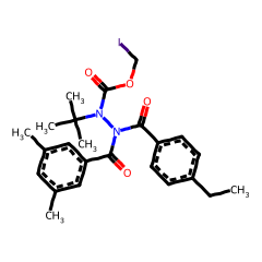 CCc1ccc(C(=O)N(C(=O)c2cc(C)cc(C)c2)N(C(=O)OCI)C(C)(C)C)cc1